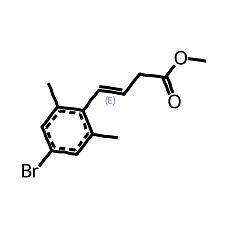 COC(=O)C/C=C/c1c(C)cc(Br)cc1C